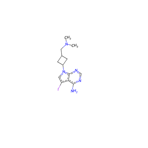 CN(C)CC1CC(n2cc(I)c3c(N)ncnc32)C1